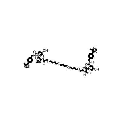 Cc1ncsc1-c1ccc(CNC(=O)[C@@H]2C[C@@H](O)CN2C(=O)C(NC(=O)COCCCCOCCCCOCCCCOCC(=O)NC(C(=O)N2C[C@H](O)C[C@H]2C(=O)NCc2ccc(-c3scnc3C)cc2)C(C)(C)C)C(C)(C)C)cc1